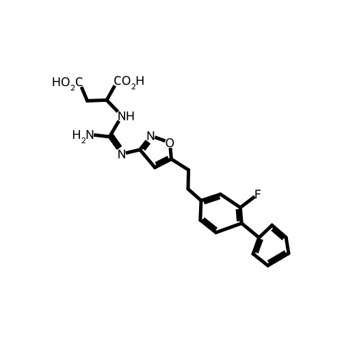 NC(=Nc1cc(CCc2ccc(-c3ccccc3)c(F)c2)on1)NC(CC(=O)O)C(=O)O